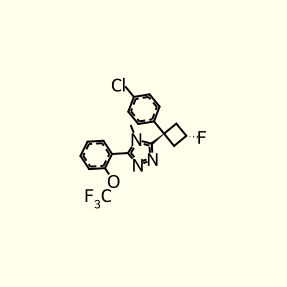 Cn1c(-c2ccccc2OC(F)(F)F)nnc1[C@]1(c2ccc(Cl)cc2)C[C@@H](F)C1